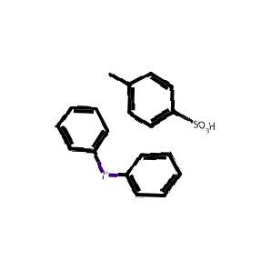 Cc1ccc(S(=O)(=O)O)cc1.c1ccc([I+]c2ccccc2)cc1